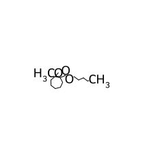 CCCCCOC(=O)C12CCCCCC1(C)O2